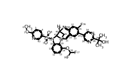 COc1ccc(S(=O)(=O)N2c3cccc(OC(F)F)c3[N@+]34C=c5cc(-c6cnc(C(C)(C)O)nc6)c(F)cc5=N[C@H](C3)C24)cn1